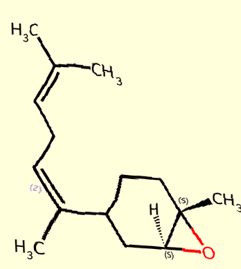 CC(C)=CC/C=C(/C)C1CC[C@]2(C)O[C@H]2C1